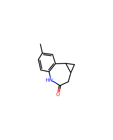 Cc1ccc2c(c1)C1CC1CC(=O)N2